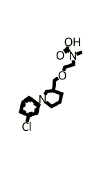 CN(CCOCC1CCCN(c2cccc(Cl)c2)C1)C(=O)O